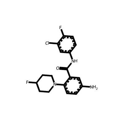 Nc1ccc(N2CCC(F)CC2)c(C(=O)Nc2ccc(F)c(Cl)c2)c1